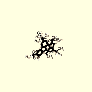 CCC1(C2c3ccc(C(C)(C)C)cc3-c3cc(C(C)(C)C)ccc32)CC(C(C)C)C2=C1C=C(C(C)(C)C)C2.[Cl-].[Cl-].[Zr+2]